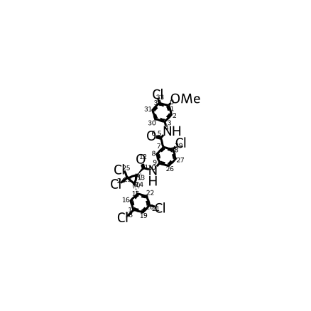 COc1cc(NC(=O)c2cc(NC(=O)[C@H]3[C@H](c4cc(Cl)cc(Cl)c4)C3(Cl)Cl)ccc2Cl)ccc1Cl